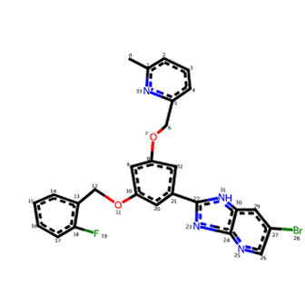 Cc1cccc(COc2cc(OCc3ccccc3F)cc(-c3nc4ncc(Br)cc4[nH]3)c2)n1